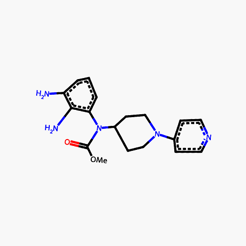 COC(=O)N(c1cccc(N)c1N)C1CCN(c2ccncc2)CC1